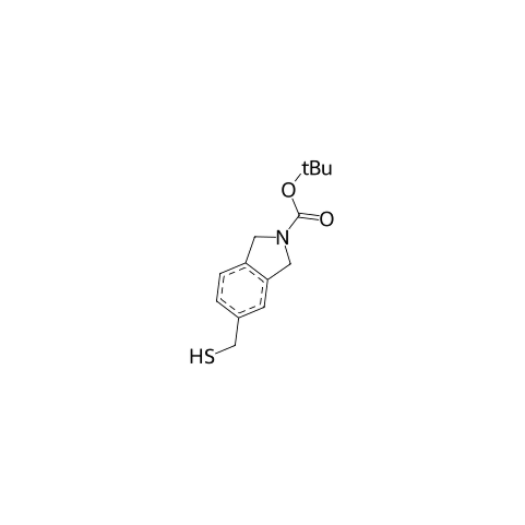 CC(C)(C)OC(=O)N1Cc2ccc(CS)cc2C1